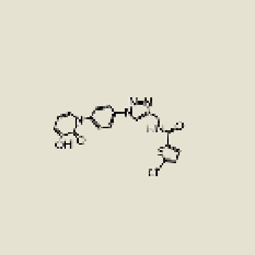 O=C(NCc1cn(-c2ccc(-n3cccc(O)c3=O)cc2)nn1)c1ccc(Cl)s1